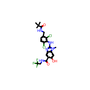 Cn1c(Nc2c(Cl)ccc(CNC(=O)C(C)(C)C)c2Cl)nc2cc(C(=O)NCC(F)(F)F)c(O)cc21